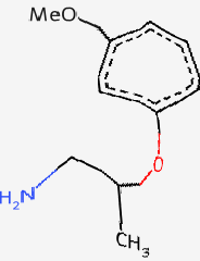 COc1cccc(OC(C)CN)c1